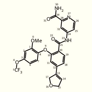 COc1cc(OC(F)(F)F)ccc1Oc1cc(C2=CCOC2)ccc1C(=O)Nc1ccnc(C(N)=O)c1